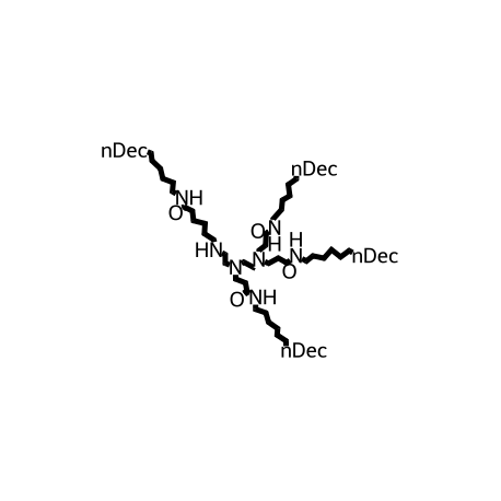 CCCCCCCCCCCCCCCCNC(=O)CCCCCNCCN(CCC(=O)NCCCCCCCCCCCCCCCC)CCN(CCC(=O)NCCCCCCCCCCCCCCCC)CCC(=O)NCCCCCCCCCCCCCCCC